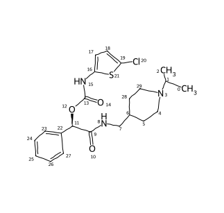 CC(C)N1CCC(CNC(=O)[C@H](OC(=O)Nc2ccc(Cl)s2)c2ccccc2)CC1